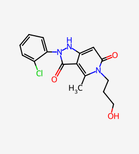 Cc1c2c(=O)n(-c3ccccc3Cl)[nH]c2cc(=O)n1CCCO